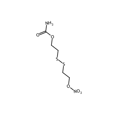 NC(=O)OCCSSCCO[N+](=O)[O-]